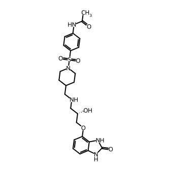 CC(=O)Nc1ccc(S(=O)(=O)N2CCC(CNC[C@H](O)COc3cccc4[nH]c(=O)[nH]c34)CC2)cc1